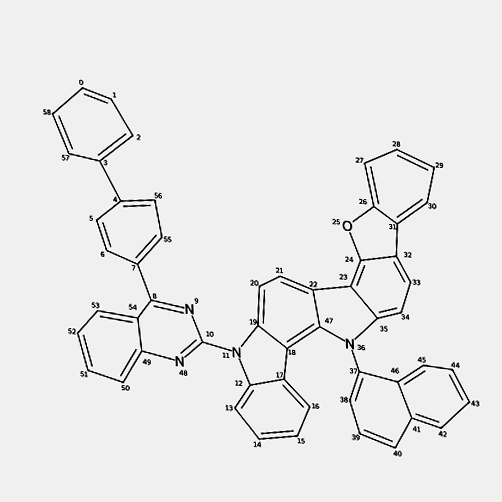 c1ccc(-c2ccc(-c3nc(-n4c5ccccc5c5c4ccc4c6c7oc8ccccc8c7ccc6n(-c6cccc7ccccc67)c45)nc4ccccc34)cc2)cc1